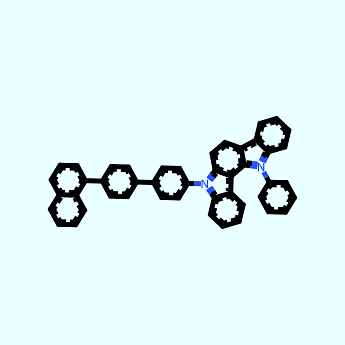 c1ccc(-n2c3ccccc3c3ccc4c(c5ccccc5n4-c4ccc(-c5ccc(-c6cccc7ccccc67)cc5)cc4)c32)cc1